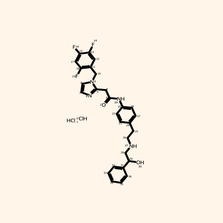 Cl.Cl.O=C(Cc1nccn1Cc1cc(F)c(F)cc1F)Nc1ccc(CCNCC(O)c2ccccc2)cc1